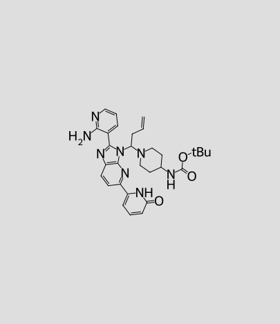 C=CCC(N1CCC(NC(=O)OC(C)(C)C)CC1)n1c(-c2cccnc2N)nc2ccc(-c3cccc(=O)[nH]3)nc21